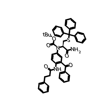 CC(C)(C)OC(=O)N(c1ccc(NC(=O)CCc2ccccc2)c(C(=O)c2ccccc2)c1)[C@@H](CSC(c1ccccc1)(c1ccccc1)c1ccccc1)C(N)=O